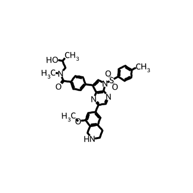 COc1cc(-c2cnc3c(n2)c(-c2ccc(C(=O)N(C)CC(C)O)cc2)cn3S(=O)(=O)c2ccc(C)cc2)cc2c1CNCC2